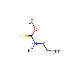 CCOC(=S)N(CC)CCC(C)C